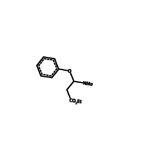 CCOC(=O)CC(NC)Oc1ccccc1